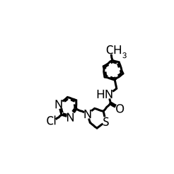 Cc1ccc(CNC(=O)C2CN(c3ccnc(Cl)n3)CCS2)cc1